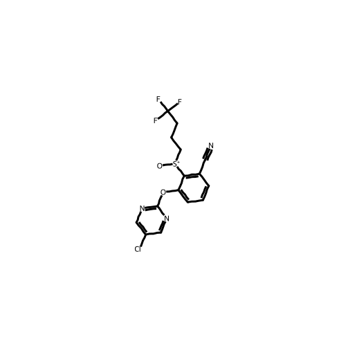 N#Cc1cccc(Oc2ncc(Cl)cn2)c1[S+]([O-])CCCC(F)(F)F